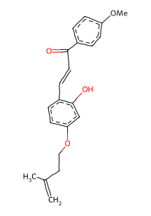 C=C(C)CCOc1ccc(C=CC(=O)c2ccc(OC)cc2)c(O)c1